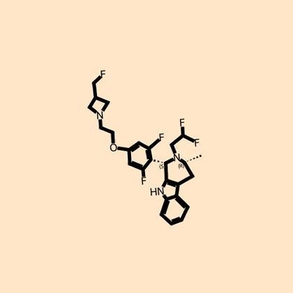 C[C@@H]1Cc2c([nH]c3ccccc23)[C@H](c2c(F)cc(OCCN3CC(CF)C3)cc2F)N1CC(F)F